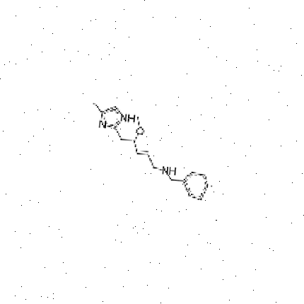 COC(C=CCNCc1cc[c]cc1)Cc1nc(C)c[nH]1